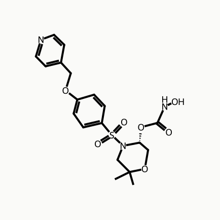 CC1(C)CN(S(=O)(=O)c2ccc(OCc3ccncc3)cc2)[C@H](OC(=O)NO)CO1